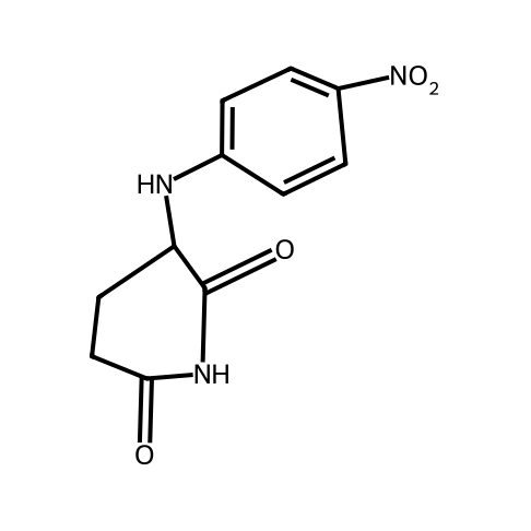 O=C1CCC(Nc2ccc([N+](=O)[O-])cc2)C(=O)N1